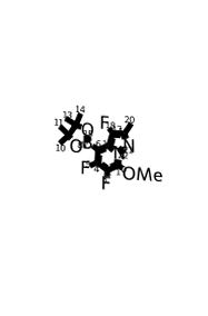 COc1c(F)c(F)c(B2OC(C)(C)C(C)(C)O2)c2c(F)c(C)nn12